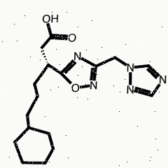 O=C(O)C[C@@H](CCCC1CCCCC1)c1nc(Cn2cncn2)no1